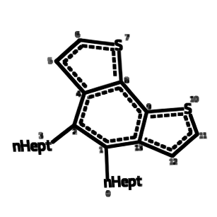 CCCCCCCc1c(CCCCCCC)c2ccsc2c2sccc12